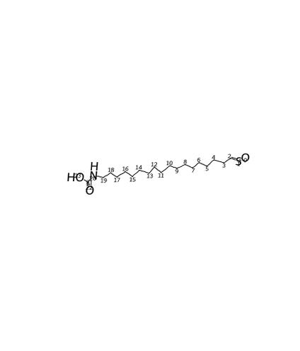 O=S=CCCCCCCCCCCCCCCCCCNC(=O)O